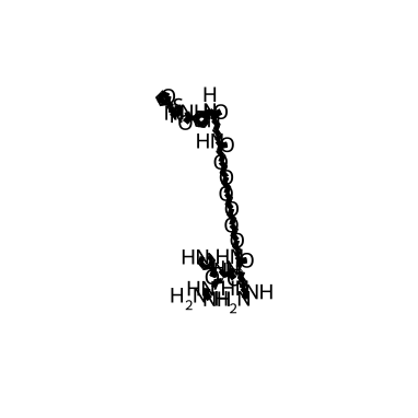 N=C(N)NCCC[C@H](NC(=O)C1CCNCC1)C(=O)N[C@@H](CCCNC(=N)N)C(=O)NCCOCCOCCOCCOCCOCCOCCC(=O)NCCCn1c(=O)[nH]c2cc(C(=O)Nc3nnc(-c4ccco4)s3)ccc21